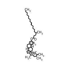 CCCCCCCCC=CCCCCC(C)CCC(=O)OC1CC[C@@]2(C)C(CC[C@H]3[C@@H]4CC[C@H]([C@H](C)CC[C@H](C)C(C)C)[C@@]4(C)CC[C@@H]32)C1